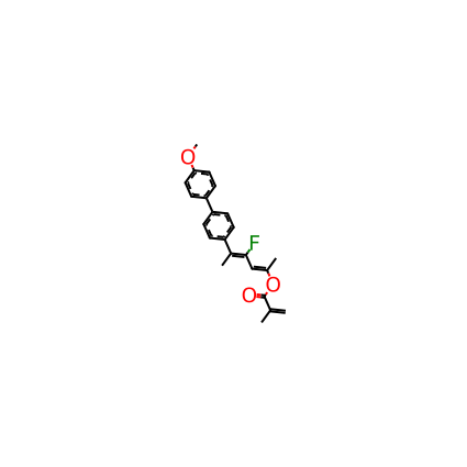 C=C(C)C(=O)O/C(C)=C/C(F)=C(\C)c1ccc(-c2ccc(OC)cc2)cc1